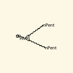 CCCCCC=CCC=CCCCCCCCCOCC(COCCCCCCCCC=CCC=CCCCCC)NCCCN1CCCC1